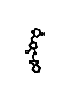 Clc1cc(CC2CNCCO2)ccc1OCc1nc2ccccc2s1